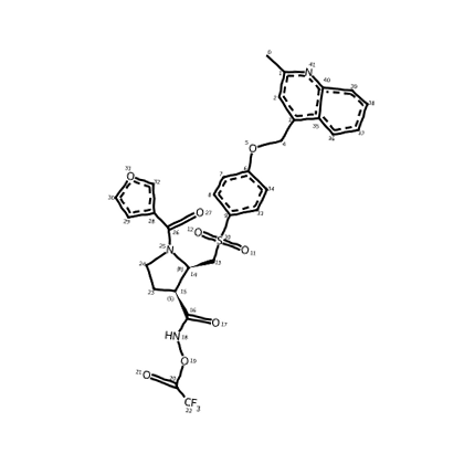 Cc1cc(COc2ccc(S(=O)(=O)C[C@H]3[C@@H](C(=O)NOC(=O)C(F)(F)F)CCN3C(=O)c3ccoc3)cc2)c2ccccc2n1